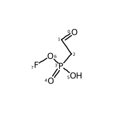 O=CCP(=O)(O)OF